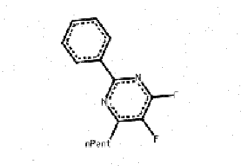 CCCCCc1nc(-c2ccccc2)nc(F)c1F